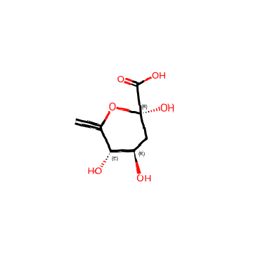 C=C1O[C@@](O)(C(=O)O)C[C@@H](O)[C@@H]1O